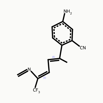 C=N/C(=C\C=C(/C)c1ccc(N)cc1C#N)C(F)(F)F